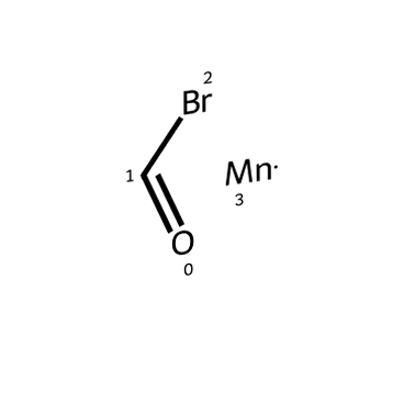 O=CBr.[Mn]